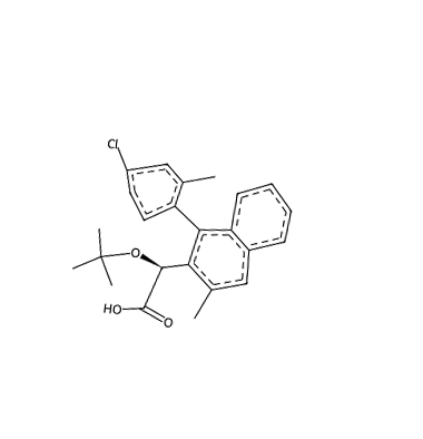 Cc1cc(Cl)ccc1-c1c([C@H](OC(C)(C)C)C(=O)O)c(C)cc2ccccc12